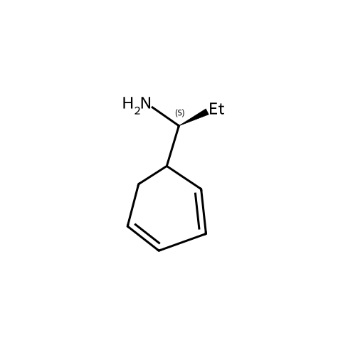 CC[C@H](N)C1C=CC=CC1